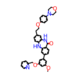 COc1cc(OCc2ccccn2)cc(-c2ccc3c(c2)Nc2ccc(CCOc4ccc(N5CCOCC5)cc4)cc2NC3=O)c1